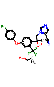 CC(O)(Cn1cncc1C#N)c1ccc(Oc2ccc(Br)cc2)cc1C(F)(F)F.CCO